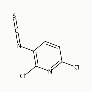 S=C=Nc1ccc(Cl)nc1Cl